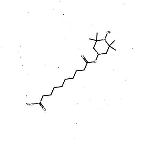 COC(=O)CCCCCCCCC(=O)OC1CC(C)(C)N(O)C(C)(C)C1